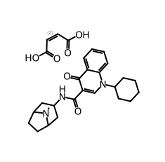 CN1C2CCC1CC(NC(=O)c1cn(C3CCCCC3)c3ccccc3c1=O)C2.O=C(O)/C=C\C(=O)O